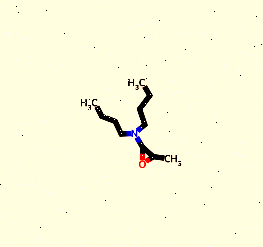 CCCCN(CCCC)C1OC1C